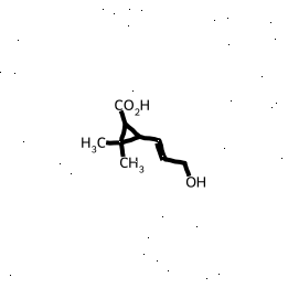 CC1(C)C(C=CCO)C1C(=O)O